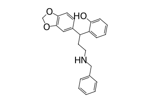 Oc1ccccc1C(CCNCc1ccccc1)c1ccc2c(c1)OCO2